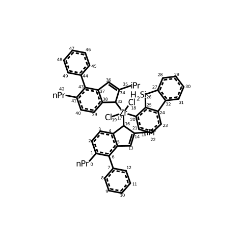 CCCc1ccc2c(c1-c1ccccc1)C=C(C(C)C)[CH]2[Zr]([Cl])([Cl])([c]1cccc2c1[SiH2]c1ccccc1-2)[CH]1C(C(C)C)=Cc2c1ccc(CCC)c2-c1ccccc1